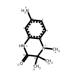 CN1c2ccc(N)cc2NC(=O)C1(C)C